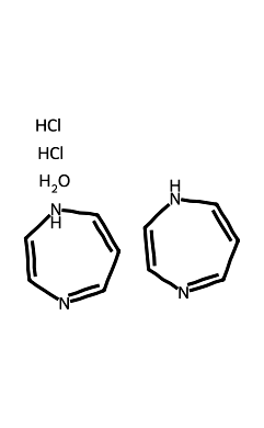 C1=CNC=CN=C1.C1=CNC=CN=C1.Cl.Cl.O